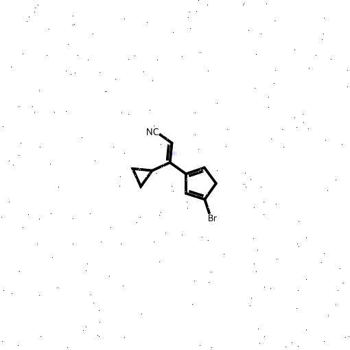 N#C/C=C(/C1=CCC(Br)=C1)C1CC1